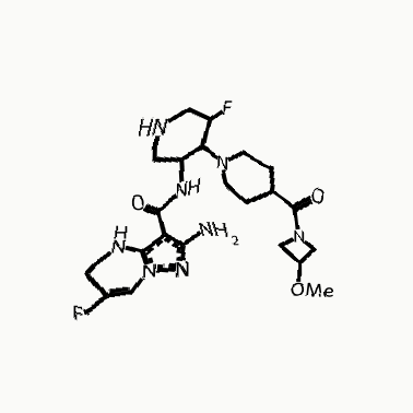 COC1CN(C(=O)C2CCN(C3C(F)CNCC3NC(=O)c3c(N)nn4c3NCC(F)=C4)CC2)C1